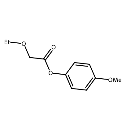 CCOCC(=O)Oc1ccc(OC)cc1